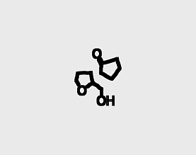 O=C1CCCC1.OCC1CCCO1